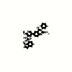 COc1ncc(-c2ccc3nc(N)n(-c4ccccc4)c(=O)c3c2)cc1NS(=O)(=O)c1cccc2ccn(C)c12